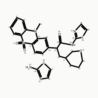 CN1c2ccccc2S(=O)(=O)c2ccc(C(CC3CCCOC3)C(=O)Nc3nccs3)cc21.Nc1nccs1